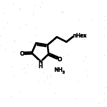 CCCCCCCCC1=CC(=O)NC1=O.N